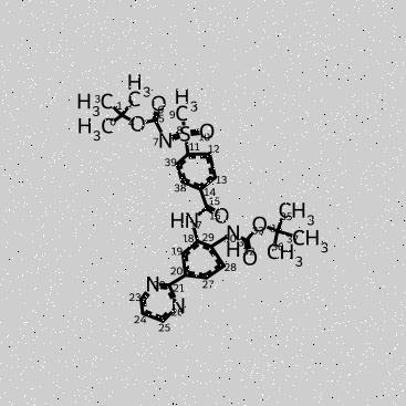 CC(C)(C)OC(=O)N=S(C)(=O)c1ccc(C(=O)Nc2cc(-c3ncccn3)ccc2NC(=O)OC(C)(C)C)cc1